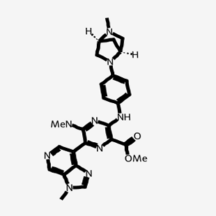 CNc1nc(Nc2ccc(N3C[C@@H]4C[C@H]3CN4C)cc2)c(C(=O)OC)nc1-c1cncc2c1ncn2C